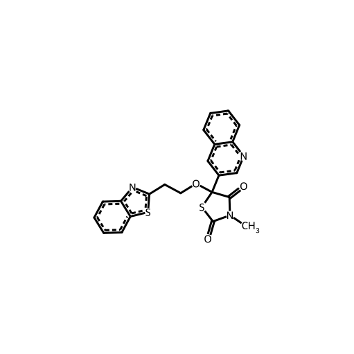 CN1C(=O)SC(OCCc2nc3ccccc3s2)(c2cnc3ccccc3c2)C1=O